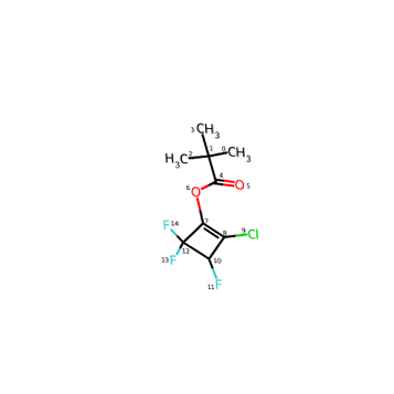 CC(C)(C)C(=O)OC1=C(Cl)C(F)C1(F)F